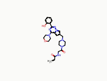 C=CC(=O)NCC(=O)N1CCN(Cc2cc3c(N4CCOCC4)nc(-c4ccccc4O)nn3c2)CC1